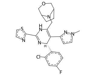 Cn1ccc(C2=C(CN3C4CCC3COC4)NC(c3nccs3)=N[C@H]2c2ccc(F)cc2Cl)n1